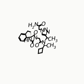 CC(c1cn(CC(N)=O)nn1)N(C(=O)CN1C(=O)N[C@]2(CCc3ccccc32)C1=O)[C@@H](C)C1CCC1